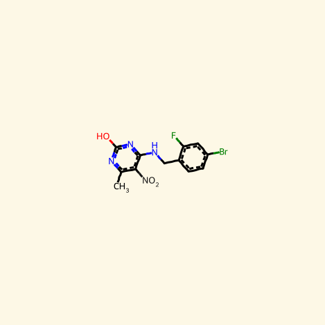 Cc1nc(O)nc(NCc2ccc(Br)cc2F)c1[N+](=O)[O-]